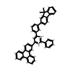 CC1(C)c2ccccc2-c2ccc(-c3cccc(-c4cc(-c5ccc6c7ccccc7c7ccccc7c6c5)nc(-c5ccccc5)n4)c3)cc21